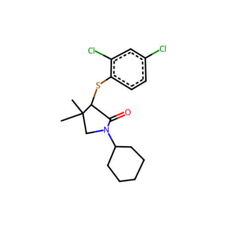 CC1(C)CN(C2CCCCC2)C(=O)C1Sc1ccc(Cl)cc1Cl